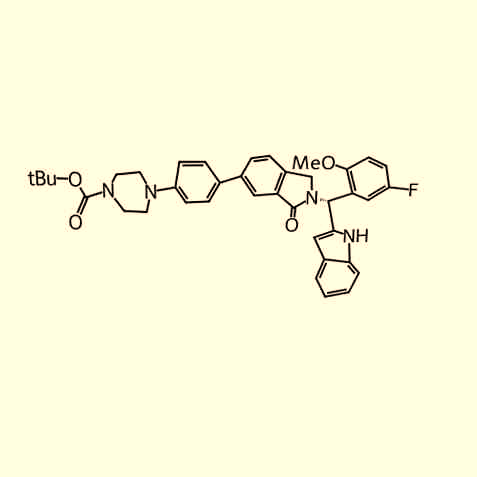 COc1ccc(F)cc1[C@H](c1cc2ccccc2[nH]1)N1Cc2ccc(-c3ccc(N4CCN(C(=O)OC(C)(C)C)CC4)cc3)cc2C1=O